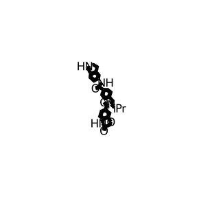 CC(C)N(Cc1ccc(C(=O)Nc2ccc3c(c2)CCNC3)cc1)C(=O)c1ccc2c(c1)OCC(=O)N2